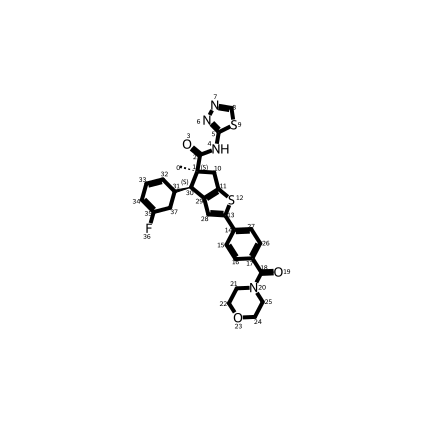 C[C@]1(C(=O)Nc2nncs2)Cc2sc(-c3ccc(C(=O)N4CCOCC4)cc3)cc2[C@H]1C1C=CC=C(F)C1